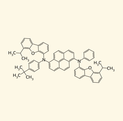 CC(C)c1cccc2c1oc1c(N(c3ccccc3)c3ccc4ccc5c(N(c6ccc(C(C)(C)C)cc6)c6cccc7c6oc6c(C(C)C)cccc67)ccc6ccc3c4c65)cccc12